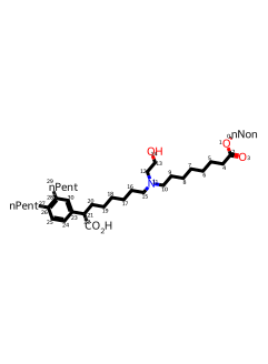 CCCCCCCCCOC(=O)CCCCCCCN(CCO)CCCCCCC(C(=O)O)c1ccc(CCCCC)c(CCCCC)c1